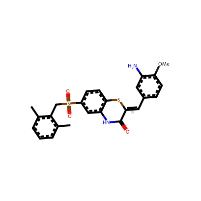 COc1ccc(/C=C2\Sc3ccc(S(=O)(=O)Cc4c(C)cccc4C)cc3NC2=O)cc1N